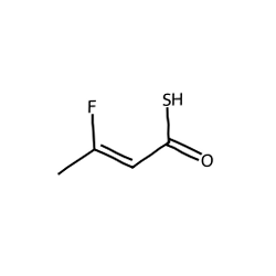 CC(F)=CC(=O)S